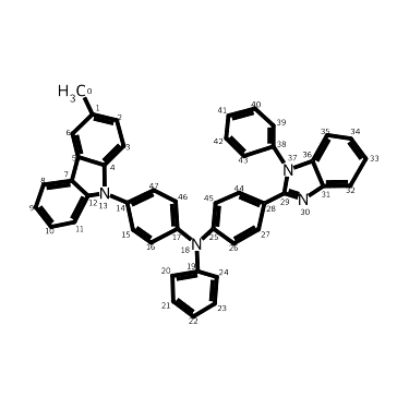 Cc1ccc2c(c1)c1ccccc1n2-c1ccc(N(c2ccccc2)c2ccc(-c3nc4ccccc4n3-c3ccccc3)cc2)cc1